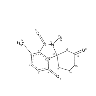 Cc1ccc(=O)n2c1C(=O)N(Br)C21CCCC(=O)C1